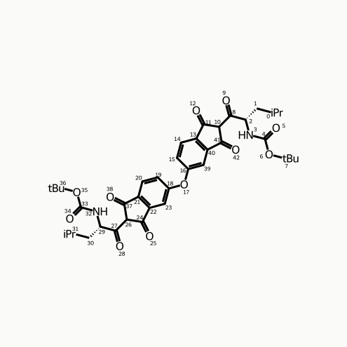 CC(C)C[C@H](NC(=O)OC(C)(C)C)C(=O)C1C(=O)c2ccc(Oc3ccc4c(c3)C(=O)C(C(=O)[C@H](CC(C)C)NC(=O)OC(C)(C)C)C4=O)cc2C1=O